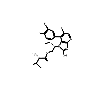 CC[C@@H](COC(=O)[C@@H](N)C(C)C)n1c(O)nc2ncc(Cl)c(-c3ccc(F)c(F)c3)c21